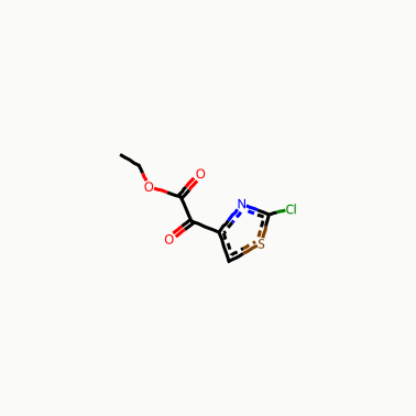 CCOC(=O)C(=O)c1csc(Cl)n1